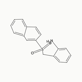 Nc1ccccc1CS(=O)(=O)c1ccc2ccccc2c1